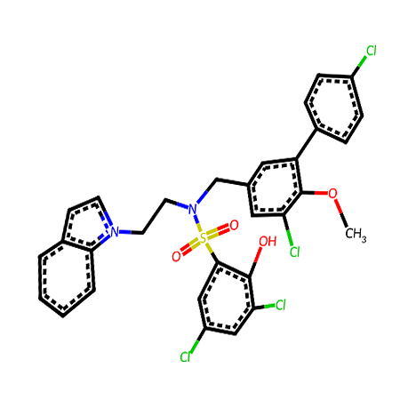 COc1c(Cl)cc(CN(CCn2ccc3ccccc32)S(=O)(=O)c2cc(Cl)cc(Cl)c2O)cc1-c1ccc(Cl)cc1